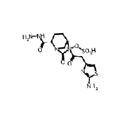 NNC(=O)[C@@H]1CCC2CN1C(=O)[N+]2(OS(=O)(=O)O)C(=O)Cc1csc(N)n1